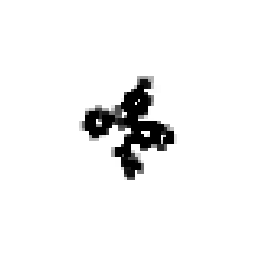 CC(Cc1cc2c(cc1C(=NNc1ncccn1)c1ccc([N+](=O)[O-])cc1)OCO2)OS(C)(=O)=O